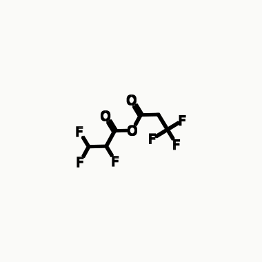 O=C(CC(F)(F)F)OC(=O)C(F)C(F)F